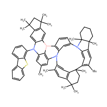 Cc1cc2c3c(c1)N(c1cccc4c1sc1ccccc14)c1cc4c(cc1B3c1ccc3cc1N2c1cc2c(cc1C)C(C)(C)CCC2(C)c1cc2c(cc1C(C)(C)C)C1(C)CCCCC1(C)N32)C(C)(C)CC4(C)C